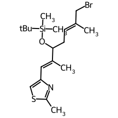 C/C(=C\CC(O[Si](C)(C)C(C)(C)C)/C(C)=C/c1csc(C)n1)CBr